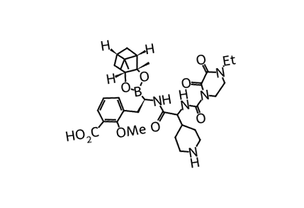 CCN1CCN(C(=O)NC(C(=O)N[C@@H](Cc2cccc(C(=O)O)c2OC)B2O[C@@H]3C[C@@H]4C[C@@H](C4(C)C)[C@]3(C)O2)C2CCNCC2)C(=O)C1=O